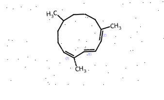 CC1=C\CCC(C)CCC\C(C)=C/C=C/1